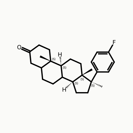 C[C@]12CCC(=O)CC1CCC1[C@@H]2CC[C@@]2(C)[C@H]1CC[C@]2(C)c1ccc(F)cc1